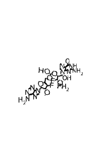 COC1C(F)C(COC(O)OC(C(F)OP)C(O)n2cnc3c(=O)[nH]c(N)nc32)OC1n1cnc2c(N)ncnc21